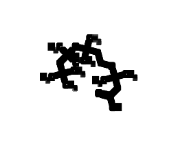 CC(C)(C)CC(C)(C)OC(C)(C)CCOC(C)(C)CC(=O)O